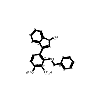 COc1ccc(C2=CC(O)c3ccccc32)c(NCc2ccccc2)c1C(=O)O